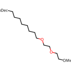 CCCCCCCCCCCCCCCCCCOCCOCCOC